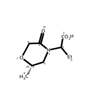 CCC(C(=O)O)N1C[C@H](C)OCC1=O